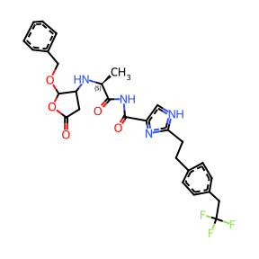 C[C@H](NC1CC(=O)OC1OCc1ccccc1)C(=O)NC(=O)c1c[nH]c(CCc2ccc(CC(F)(F)F)cc2)n1